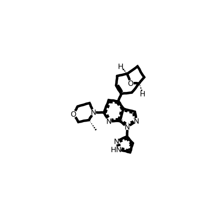 C[C@@H]1COCCN1c1cc(C2=CC[C@H]3CC[C@@H](C2)O3)c2cnn(-c3cc[nH]n3)c2n1